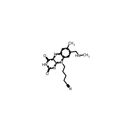 CNCc1cc2c(cc1C)nc1c(=O)[nH]c(=O)nc-1n2CCCCC#N